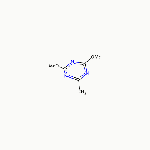 COc1nc(C)nc(OC)n1